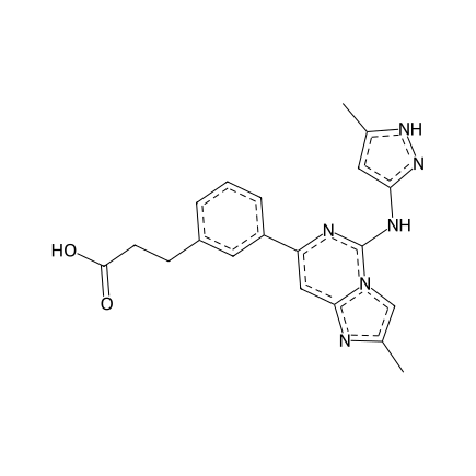 Cc1cn2c(Nc3cc(C)[nH]n3)nc(-c3cccc(CCC(=O)O)c3)cc2n1